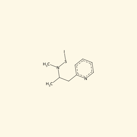 CC(Cc1ccccn1)N(C)SI